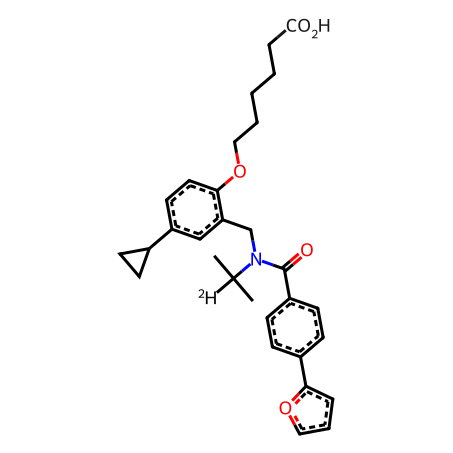 [2H]C(C)(C)N(Cc1cc(C2CC2)ccc1OCCCCCC(=O)O)C(=O)c1ccc(-c2ccco2)cc1